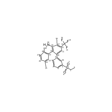 CCS(=O)(=O)c1cccc(-c2cc(C(F)(F)F)c(C)c(N)c2-c2cc(C)cnc2C)c1